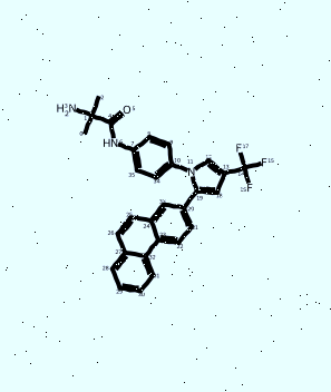 CC(C)(N)C(=O)Nc1ccc(-n2cc(C(F)(F)F)cc2-c2ccc3c(ccc4ccccc43)c2)cc1